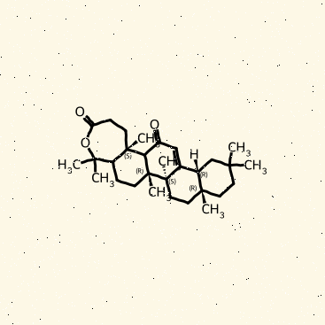 CC1(C)CC[C@]2(C)CC[C@]3(C)C(=CC(=O)C4[C@@]5(C)CCC(=O)OC(C)(C)C5CC[C@]43C)[C@@H]2C1